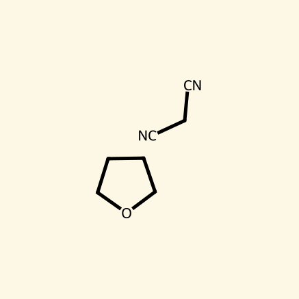 C1CCOC1.N#CCC#N